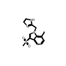 Cc1cccc2c(S(C)(=O)=O)cn(CC3=NCCN3)c12